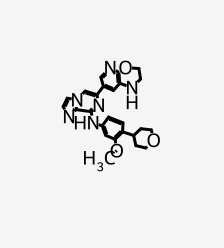 COc1cc(Nc2nc(-c3cnc4c(c3)NCCO4)cn3ccnc23)ccc1C1CCOCC1